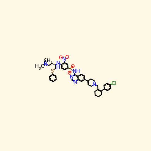 CN(C)CC[C@H](CSc1ccccc1)Nc1ccc(S(=O)(=O)Nc2ncnc3cc(C4=CCN(CC5=C(c6ccc(Cl)cc6)CCCC5)CC4)ccc23)cc1[N+](=O)[O-]